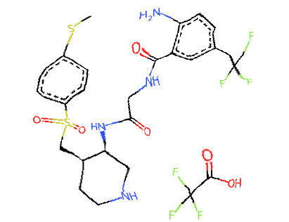 CSc1ccc(S(=O)(=O)C[C@@H]2CCNC[C@@H]2NC(=O)CNC(=O)c2cc(C(F)(F)F)ccc2N)cc1.O=C(O)C(F)(F)F